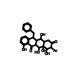 CC(=O)C1C(=O)CC2C(O)C3C(Cc4ccccc4)c4cccc(O)c4C(=O)C3C(O)C2(O)C1O